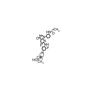 C=CC(=O)Nc1cccc(-n2cnc(=O)c3cnc(Nc4c(F)cc(N5CCN(CC(C)(C)O)CC5)cc4F)nc32)c1